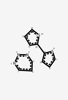 c1cnnnc1.c1csc(-c2cccs2)c1